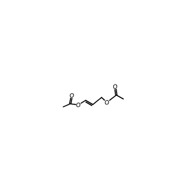 CC(=O)OC=CCOC(C)=O